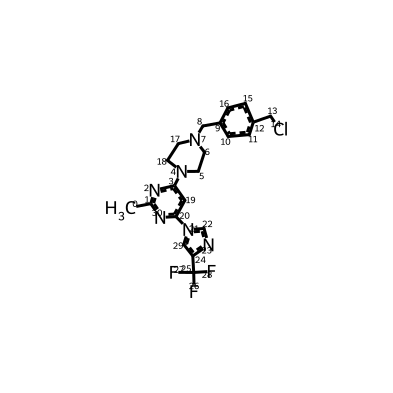 Cc1nc(N2CCN(Cc3ccc(CCl)cc3)CC2)cc(-n2cnc(C(F)(F)F)c2)n1